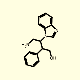 NCC(C(CO)c1ccccc1)n1cnc2ccccc21